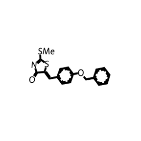 CSC1=NC(=O)C(=Cc2ccc(OCc3ccccc3)cc2)S1